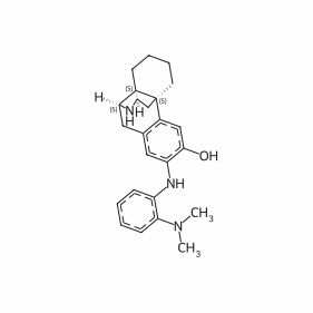 CN(C)c1ccccc1Nc1cc2c(cc1O)[C@]13CCCC[C@@H]1[C@H](C2)NCC3